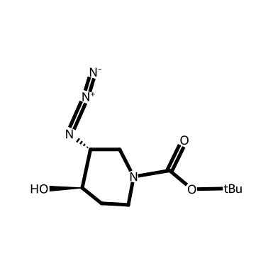 CC(C)(C)OC(=O)N1CC[C@@H](O)[C@H](N=[N+]=[N-])C1